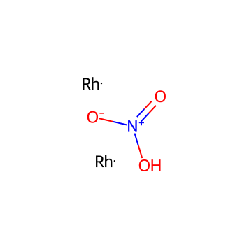 O=[N+]([O-])O.[Rh].[Rh]